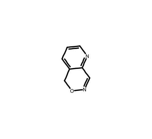 C1=NOCc2cccnc21